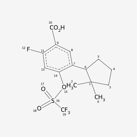 CC1(C)CCCC1c1cc(C(=O)O)c(F)cc1OS(=O)(=O)C(F)(F)F